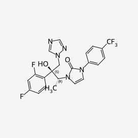 C[C@@H](n1ccn(-c2ccc(C(F)(F)F)cc2)c1=O)[C@@](O)(Cn1cncn1)c1ccc(F)cc1F